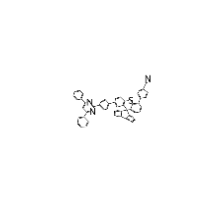 N#Cc1ccc(-c2cccc3c2Sc2ccc(-c4ccc(-c5nc(-c6ccccc6)cc(-c6ccccc6)n5)cc4)cc2C32c3ccccc3-c3ccccc32)cc1